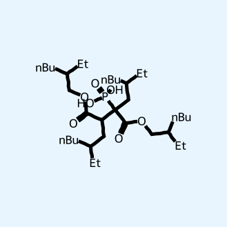 CCCCC(CC)COC(=O)C(CC(CC)CCCC)C(CC(CC)CCCC)(C(=O)OCC(CC)CCCC)P(=O)(O)O